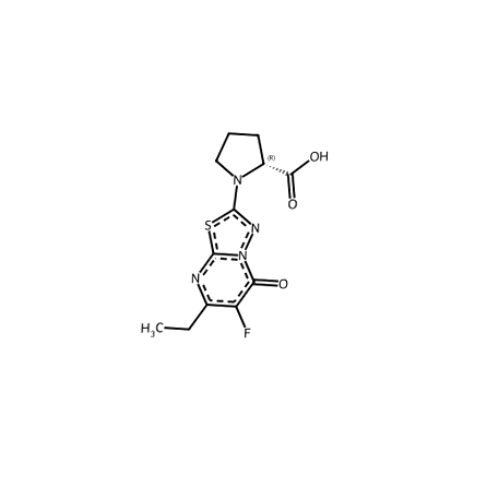 CCc1nc2sc(N3CCC[C@@H]3C(=O)O)nn2c(=O)c1F